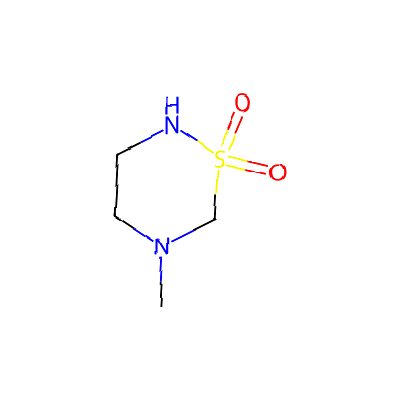 CN1CCNS(=O)(=O)C1